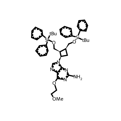 COCCOc1nc(N)nc2c1ncn2[C@@H]1C[C@H](CO[Si](c2ccccc2)(c2ccccc2)C(C)(C)C)[C@@H]1CO[Si](c1ccccc1)(c1ccccc1)C(C)(C)C